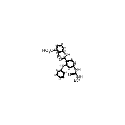 CCNC(=O)Nc1cc(Nc2ccccc2)c(C(=O)Nc2cccc(C(=O)O)c2CC)cn1